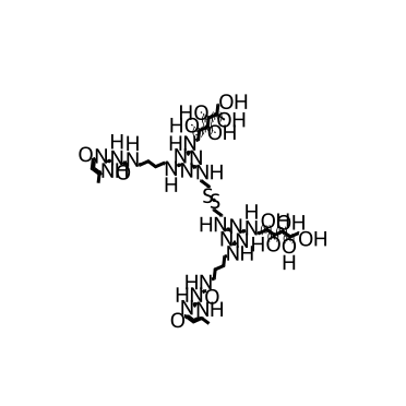 Cc1cc(=O)nc(NC(=O)NCCCCNc2nc(NCCSSCCNc3nc(NCCCCNC(=O)Nc4nc(=O)cc(C)[nH]4)nc(NC[C@H](O)[C@@H](O)[C@H](O)[C@H](O)CO)n3)nc(NC[C@H](O)[C@@H](O)[C@H](O)[C@H](O)CO)n2)[nH]1